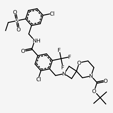 CCS(=O)(=O)c1ccc(Cl)cc1CNC(=O)c1cc(Cl)c(CN2CC3(C2)CN(C(=O)OC(C)(C)C)CCO3)c(C(F)(F)F)c1